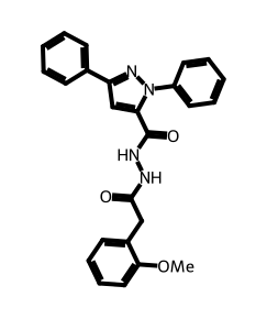 COc1ccccc1CC(=O)NNC(=O)c1cc(-c2ccccc2)nn1-c1ccccc1